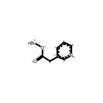 CCCCOC(=O)Cc1cccnc1